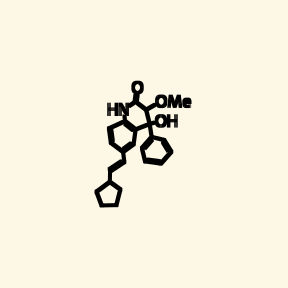 COC1C(=O)Nc2ccc(C=CC3CCCC3)cc2C1(O)c1ccccc1